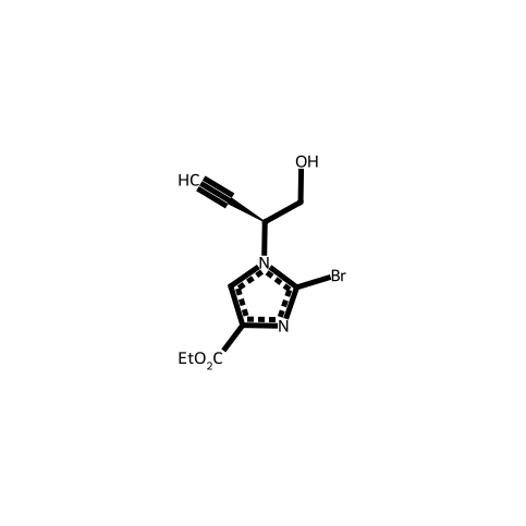 C#C[C@@H](CO)n1cc(C(=O)OCC)nc1Br